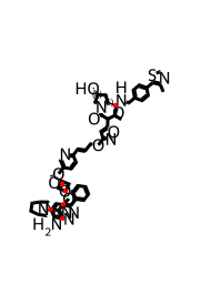 COCOc1ccccc1-c1cc(N2CC3CCC(C2)N3c2ccnc(O[C@H]3C[C@H](Oc4ccc(C=CCOc5cc(C(C(=O)N6C[C@H](O)C[C@H]6C(=O)NCc6ccc(-c7scnc7C)cc6)C(C)C)on5)nc4)C3)c2)c(N)nn1